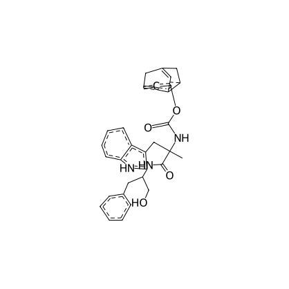 CC(Cc1c[nH]c2ccccc12)(NC(=O)Oc1cc2cc3c1CC(=C3)C2)C(=O)NC(CO)Cc1ccccc1